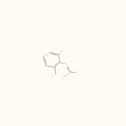 CCCc1cccc(CCC)c1/N=C(\Cl)C(F)(F)F